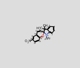 CCCN1c2ccccc2C(C)(C)[C@@]12C=Cc1cc([N+](=O)[O-])ccc1O2